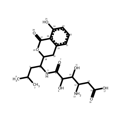 CC(C)CC(NC(=O)C(O)C(O)C(N)CC(=O)O)C1Cc2cccc(O)c2C(=O)O1